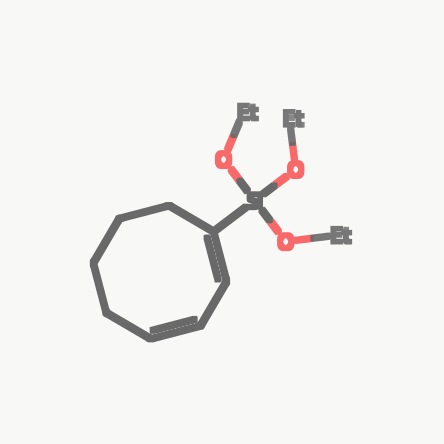 CCO[Si](OCC)(OCC)C1=CC=CCCCC1